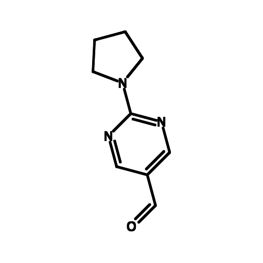 O=Cc1cnc(N2CCCC2)nc1